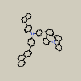 c1ccc(-c2ccccc2-n2c3ccccc3c3ccccc32)c(-c2ccc(N(c3ccc(-c4ccc5c(ccc6ccccc65)c4)cc3)c3ccc(-c4cccc5ccccc45)cc3)cc2)c1